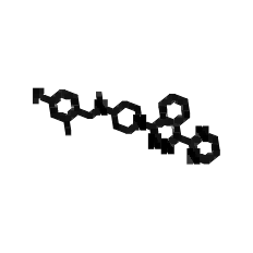 Cc1cc(F)ccc1CN(C)C1CCN(c2nnc(-c3ncccn3)c3ccccc23)CC1